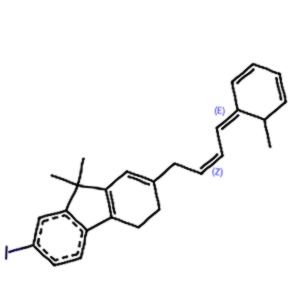 CC1C=CC=C/C1=C/C=C\CC1=CC2=C(CC1)c1ccc(I)cc1C2(C)C